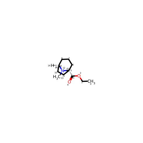 CCOC(=O)[C@]12CCC[C@H](CC1)N2C